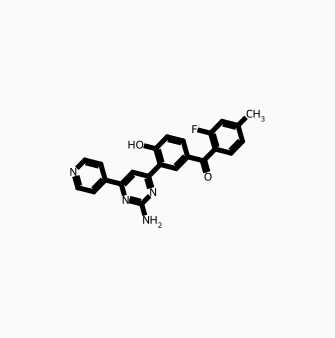 Cc1ccc(C(=O)c2ccc(O)c(-c3cc(-c4ccncc4)nc(N)n3)c2)c(F)c1